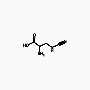 N#CNCC(N)C(=O)O